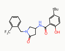 CC(C)(C)c1ccc(O)c(C(=O)NC2CC(=O)N(Cc3ccccc3C(F)(F)F)C2)c1